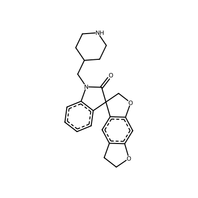 O=C1N(CC2CCNCC2)c2ccccc2C12COc1cc3c(cc12)CCO3